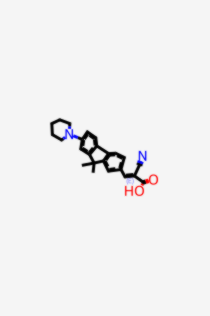 CC1(C)c2cc(/C=C(\C#N)C(=O)O)ccc2-c2ccc(N3CCCCC3)cc21